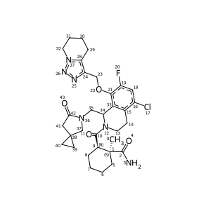 C[C@]1(C(N)=O)CCCC[C@H]1C(=O)N1CCc2c(Cl)cc(F)c(OCc3nnn4c3CCCC4)c2C1CN1CC2(CC2)CC1=O